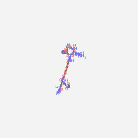 [N-]=[N+]=NCC(=O)NCCCCC(NC(=O)CCN1C(=O)C=CC1=O)C(=O)NCCOCCOCCOCCOCCC(=O)NCCCC[C@@H]1NC(=O)[C@@H](Cc2ccccc2)NC(=O)[C@H](CC(=O)O)NC(=O)CNC(=O)[C@H](CCCNC(=N)N)NC1=O